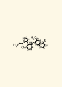 CCCn1nccc1-c1c(Cl)cncc1Nc1nc2ccc(F)c(F)c2nc1C